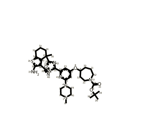 CN1CCN(c2cc(OC3CCCN(C(=O)OC(C)(C)C)CC3)cc(-c3noc(C4(C)CCCc5sc(N)c(C#N)c54)n3)n2)CC1